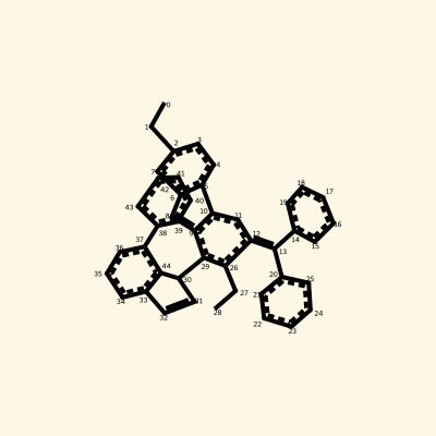 CCc1ccc2c(c1)[C]=c1c-2cc(=C(c2ccccc2)c2ccccc2)c(CC)c1C1C=Cc2cccc(-c3ccccc3)c21